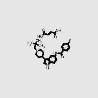 CC(C)(C)CN1CCC(c2c[nH]c3ccc(NC(=O)c4ccc(F)cc4)cc23)CC1.O=C(O)C=CC(=O)O